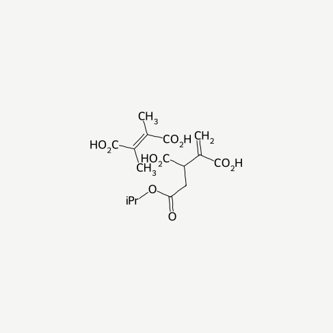 C=C(C(=O)O)C(CC(=O)OC(C)C)C(=O)O.CC(C(=O)O)=C(C)C(=O)O